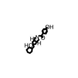 O=C(CN1C[C@@H]2CC(O)(CC3CCCCC3)C[C@@H]2C1)c1ccc(O)cc1